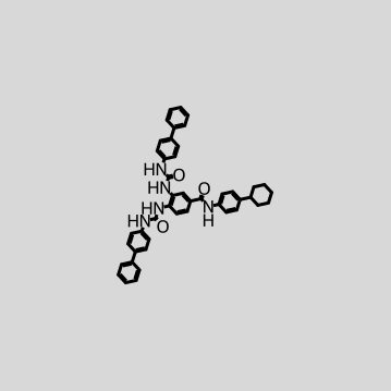 O=C(Nc1ccc(-c2ccccc2)cc1)Nc1ccc(C(=O)Nc2ccc(C3CCCCC3)cc2)cc1NC(=O)Nc1ccc(-c2ccccc2)cc1